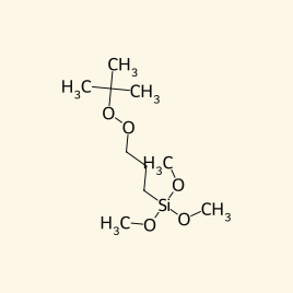 CO[Si](CCCOOC(C)(C)C)(OC)OC